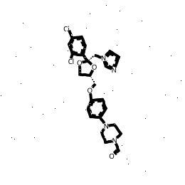 O=CN1CCN(c2ccc(OC[C@@H]3CO[C@@](Cn4ccnc4)(c4ccc(Cl)cc4Cl)O3)cc2)CC1